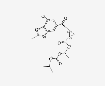 Cc1nc2cc(C(=O)[C@H]3C[C@@H]3C(=O)OC(C)OC(=O)OC(C)C)cc(Cl)c2o1